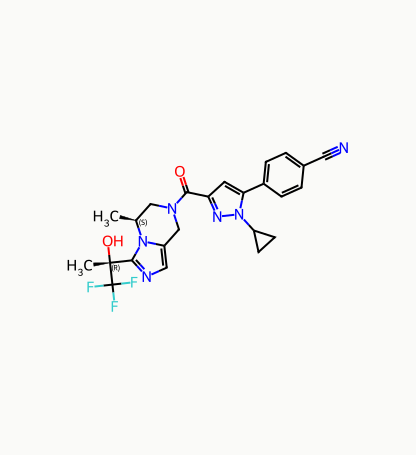 C[C@H]1CN(C(=O)c2cc(-c3ccc(C#N)cc3)n(C3CC3)n2)Cc2cnc([C@@](C)(O)C(F)(F)F)n21